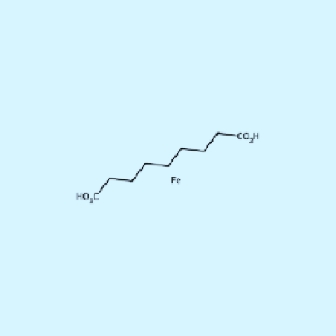 O=C(O)CCCCCCCC(=O)O.[Fe]